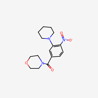 O=C(c1ccc([N+](=O)[O-])c(N2CCCCC2)c1)N1CCOCC1